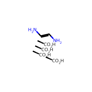 CC(=O)O.CC(=O)O.CC(=O)O.CC(=O)O.NC=CN